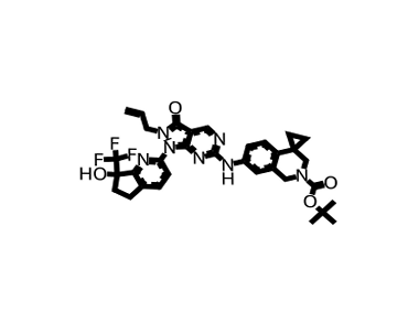 C=CCn1c(=O)c2cnc(Nc3ccc4c(c3)CN(C(=O)OC(C)(C)C)CC43CC3)nc2n1-c1ccc2c(n1)C(O)(C(F)(F)F)CC2